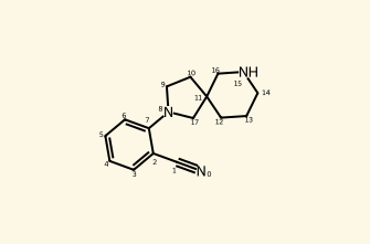 N#Cc1ccccc1N1CCC2(CCCNC2)C1